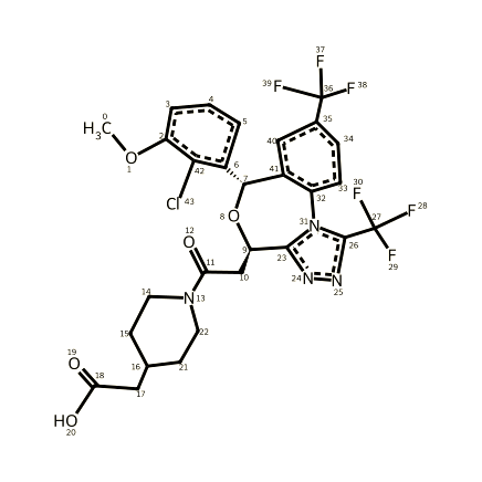 COc1cccc([C@H]2O[C@H](CC(=O)N3CCC(CC(=O)O)CC3)c3nnc(C(F)(F)F)n3-c3ccc(C(F)(F)F)cc32)c1Cl